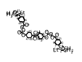 C=C[Si](C=C)(CC)c1ccc(C(=O)OOC(=O)OC2CCC(C(C)(C)C3CCC(OC(=O)OOC(=O)c4ccc([Si](C=C)(C=C)CC)cc4)CC3)CC2)cc1